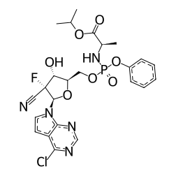 CC(C)OC(=O)[C@@H](C)NP(=O)(OC[C@H]1O[C@@H](n2ccc3c(Cl)ncnc32)[C@@](F)(C#N)[C@@H]1O)Oc1ccccc1